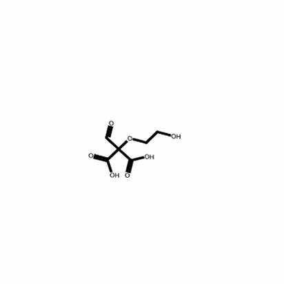 O=CC(OCCO)(C(=O)O)C(=O)O